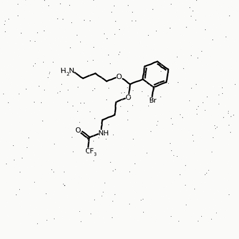 NCCCOC(OCCCNC(=O)C(F)(F)F)c1ccccc1Br